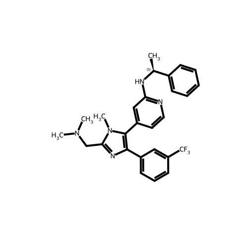 C[C@H](Nc1cc(-c2c(-c3cccc(C(F)(F)F)c3)nc(CN(C)C)n2C)ccn1)c1ccccc1